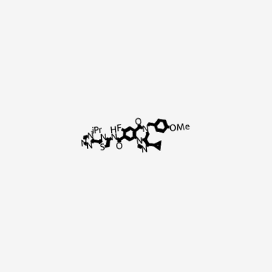 COc1ccc(CN2Cc3c(C4CC4)ncn3-c3cc(C(=O)Nc4csc(-c5nncn5C(C)C)n4)c(F)cc3C2=O)cc1